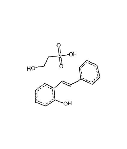 O=S(=O)(O)CCO.Oc1ccccc1C=Cc1ccccc1